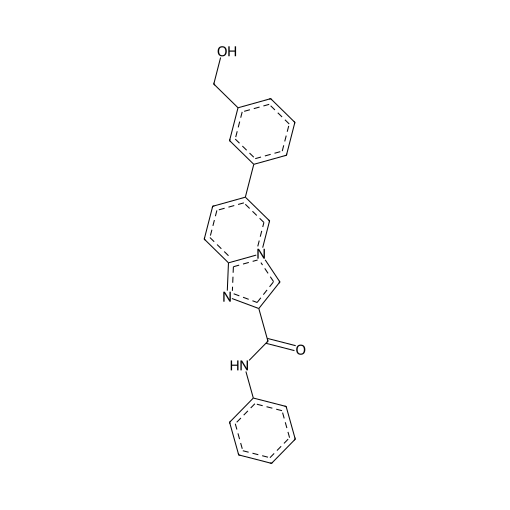 O=C(Nc1ccccc1)c1cn2cc(-c3cccc(CO)c3)ccc2n1